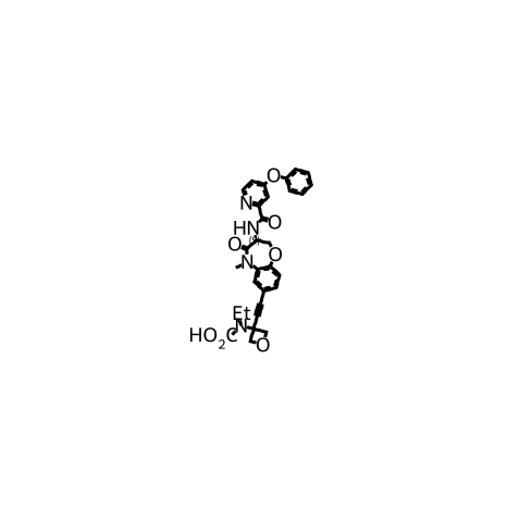 CCN(C(=O)O)C1(C#Cc2ccc3c(c2)N(C)C(=O)[C@@H](NC(=O)c2cc(Oc4ccccc4)ccn2)CO3)COC1